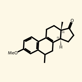 COc1ccc2c(c1)C(C)CC1=C2CC[C@]2(C)C(=O)CC[C@@H]12